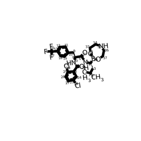 CC(C)C[C@H](NC(=O)[C@H](Cc1ccc(C(F)(F)F)cc1)NC(=O)c1cc(Cl)ccc1Cl)B1OCCNCCO1